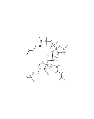 CCCCOC(=O)C(C)(C)CC(C)(C)C(CCC)(CC(C)(C)C(C)(CC(C)(CC)C(=O)OCCN(C)C)C(=O)OCCN(C)C)C(=O)O